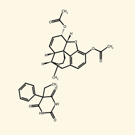 CC(=O)Oc1ccc2c3c1O[C@H]1[C@@H](OC(C)=O)C=C[C@H]4[C@@H](C2)N(C)CC[C@@]341.CCC1(c2ccccc2)C(=O)NC(=O)NC1=O